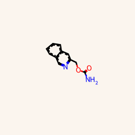 NC(=O)OCc1cc2ccccc2cn1